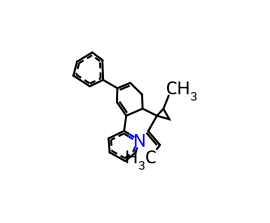 CC=CC1(C2CC=C(c3ccccc3)C=C2c2ccccn2)CC1C